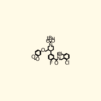 CC(C)(C)OC(=O)N1CCC(c2ccc(F)c(C(=O)NCc3c(Cl)cccc3Cl)c2)C(COc2ccc3c(c2)OCO3)C1